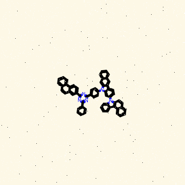 c1ccc(-c2nc(-c3ccc(-n4c5cc(-n6c7ccccc7c7c8ccccc8ccc76)ccc5c5cc6ccccc6cc54)cc3)nc(-c3ccc4c(ccc5ccccc54)c3)n2)cc1